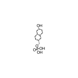 O=P(O)(O)OCc1ccc2cc(O)ccc2c1